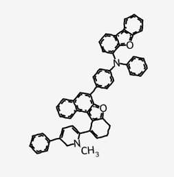 CN1CC(c2ccccc2)=CC=C1C1=CCCc2oc3c(-c4ccc(N(c5ccccc5)c5cccc6c5oc5ccccc56)cc4)cc4ccccc4c3c21